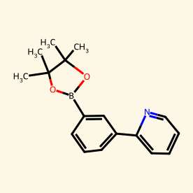 CC1(C)OB(c2cccc(-c3ccccn3)c2)OC1(C)C